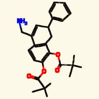 CC(C)(C)C(=O)Oc1ccc2c(c1OC(=O)C(C)(C)C)CC(c1ccccc1)C=C2CN